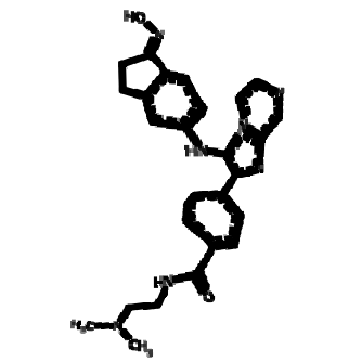 CN(C)CCNC(=O)c1ccc(-c2nc3cnccn3c2Nc2ccc3c(c2)CCC3=NO)cc1